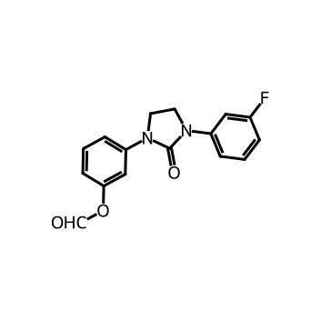 O=COc1cccc(N2CCN(c3cccc(F)c3)C2=O)c1